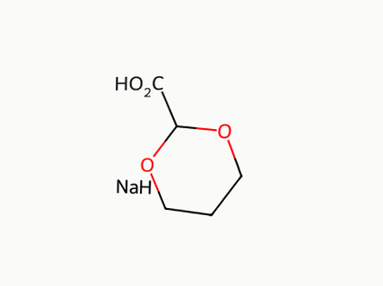 O=C(O)C1OCCCO1.[NaH]